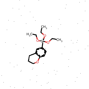 CCO[Si](OCC)(OCC)c1ccc2c(c1)CCCO2